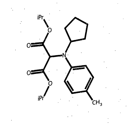 Cc1ccc(N(C2CCCC2)C(C(=O)OC(C)C)C(=O)OC(C)C)cc1